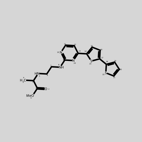 COC(=O)C(C)NCCNc1nccc(-c2ccc(-c3cccs3)s2)n1